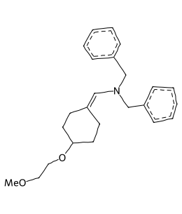 COCCOC1CCC(=CN(Cc2ccccc2)Cc2ccccc2)CC1